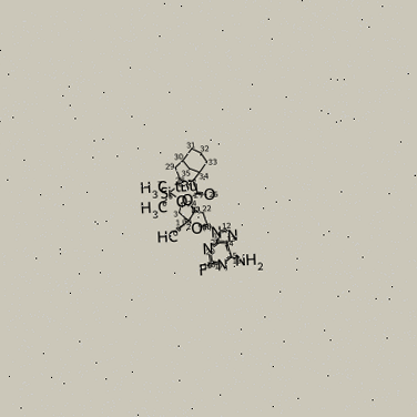 C#C[C@]1(CO[Si](C)(C)C(C)(C)C)O[C@@H](n2cnc3c(N)nc(F)nc32)C[C@@H]1OC(=O)C1CCC2CCCC1C2